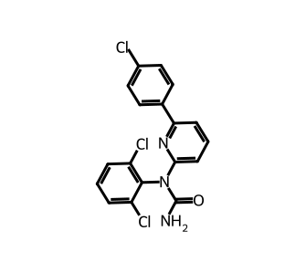 NC(=O)N(c1cccc(-c2ccc(Cl)cc2)n1)c1c(Cl)cccc1Cl